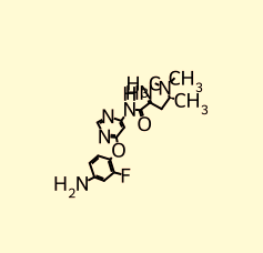 C[C@@H](CC(=N)C(=O)Nc1cc(Oc2ccc(N)cc2F)ncn1)N(C)C